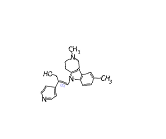 Cc1ccc2c(c1)c1c(n2/C=C(\CO)c2ccncc2)CCN(C)C1